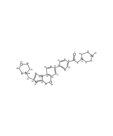 CN1CCN(CC(=O)c2ccc(-c3ccc4c(c3)OCc3nc(CN5CCOCC5)cn3-4)cc2)CC1